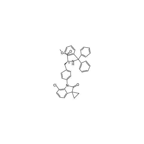 COC(=O)[C@H](Cc1ccc(N2C(=O)C3(CC3)c3cccc(Cl)c32)cc1)NC(c1ccccc1)(c1ccccc1)c1ccccc1